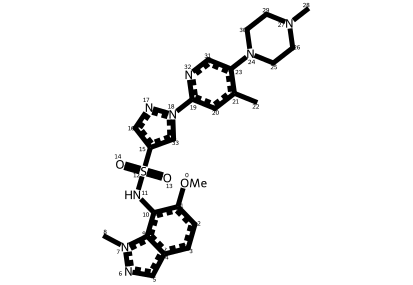 COc1ccc2cnn(C)c2c1NS(=O)(=O)c1cnn(-c2cc(C)c(N3CCN(C)CC3)cn2)c1